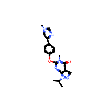 CC(C)n1ncc2c(=O)n(C)c(Oc3ccc(-c4cn(C)cn4)cc3)nc21